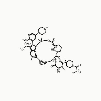 CO[C@@H](C)c1ncc(N2CCN(C)CC2)cc1-c1c2c3cc(c(C)cc3n1CC(F)(F)F)-c1csc(n1)C[C@H](NC(=O)[C@H](C(C)C)N(C)C(=O)C1(F)CCN(C(=O)[C@H](F)Cl)CC1)C(=O)N1CCC[C@H](N1)C(=O)OCC(C)(C)C2